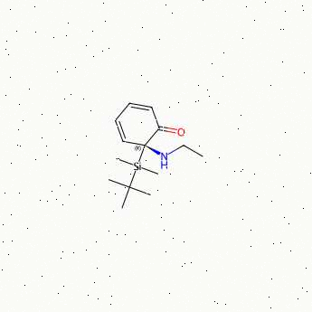 CCN[C@@]1([Si](C)(C)C(C)(C)C)C=CC=CC1=O